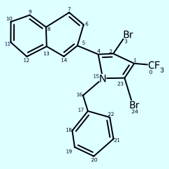 FC(F)(F)c1c(Br)c(-c2ccc3ccccc3c2)n(Cc2ccccc2)c1Br